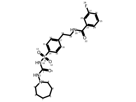 O=C(NN1CCCCCC1)NS(=O)(=O)c1ccc(CCNC(=O)c2cccc(F)c2)cc1